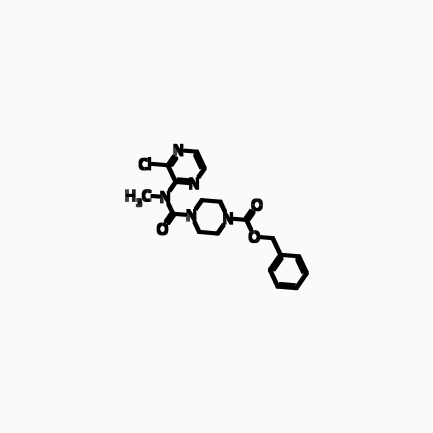 CN(C(=O)N1CCN(C(=O)OCc2ccccc2)CC1)c1nccnc1Cl